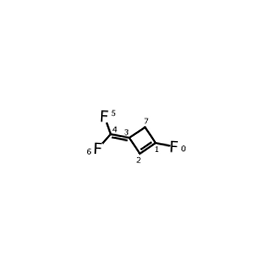 FC1=CC(=C(F)F)C1